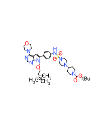 CC(C)(C)OC(=O)N1CCC(N2CCN(S(=O)(=O)Nc3ccc(-c4cc5c(N6CCOCC6)ncnc5n4COCC[Si](C)(C)C)cc3)CC2)CC1